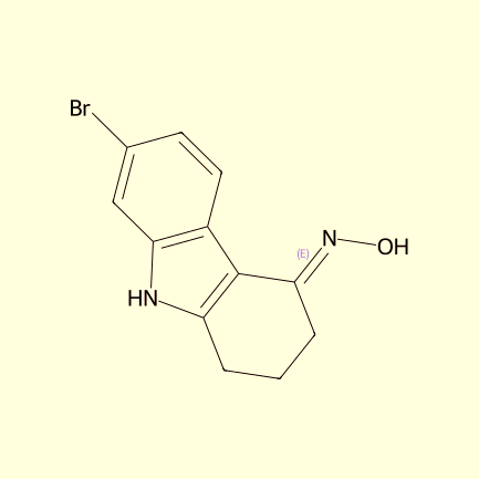 O/N=C1\CCCc2[nH]c3cc(Br)ccc3c21